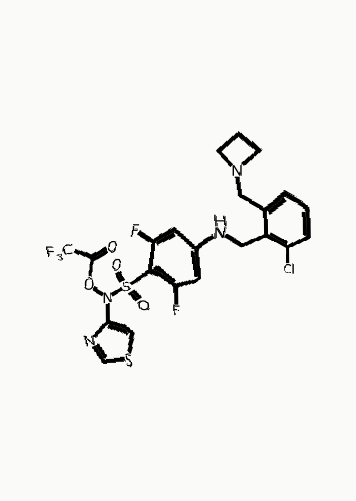 O=C(ON(c1cscn1)S(=O)(=O)c1c(F)cc(NCc2c(Cl)cccc2CN2CCC2)cc1F)C(F)(F)F